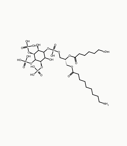 CCCCCCCCCCCCCCCC(=O)O[C@H](COC(=O)CCCCCCCCN)COP(=O)(O)OC1C(O)[C@@H](OP(=O)(O)O)C(OP(=O)(O)O)[C@@H](OP(=O)(O)O)[C@H]1O